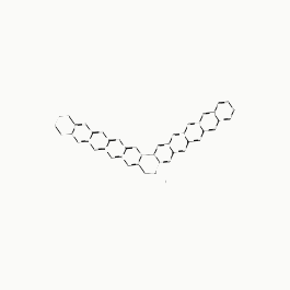 O=C1C=c2cc3cc4cc5cc6c(cc5cc4cc3cc2-c2cc3cc4cc5cc7ccccc7cc5cc4cc3cc21)=CCC=C6